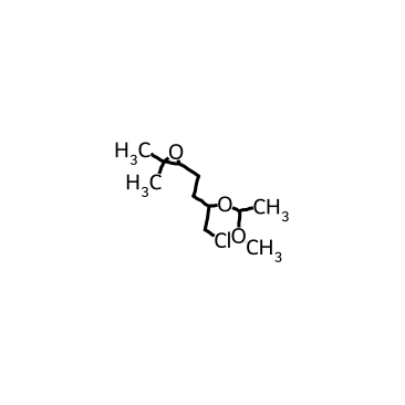 COC(C)OC(CCl)CCC1OC1(C)C